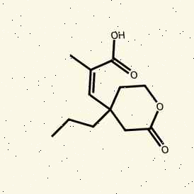 CCCC1(C=C(C)C(=O)O)CCOC(=O)C1